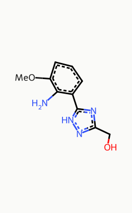 COc1cccc(-c2nc(CO)n[nH]2)c1N